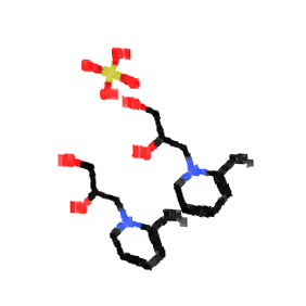 CC1=CC=CCN1CC(O)CO.CC1=CC=CCN1CC(O)CO.O=S(=O)(O)O